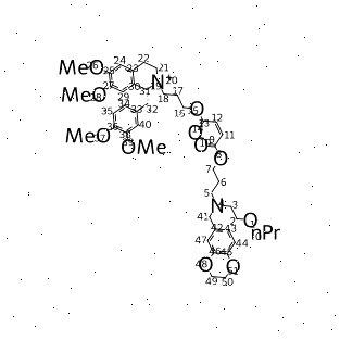 CCCOCCN(CCCOC(=O)/C=C\C(=O)OCCC[N@+]1(C)CCc2cc(OC)c(OC)cc2[C@H]1Cc1ccc(OC)c(OC)c1)Cc1ccc2c(c1)OCCO2